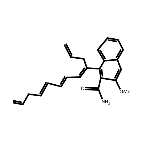 C=CCC=CC=CC=C(CC=C)c1c(C(N)=O)c(OC)cc2ccccc12